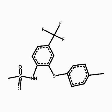 Cc1ccc(Sc2cc(C(F)(F)F)ccc2NS(C)(=O)=O)cc1